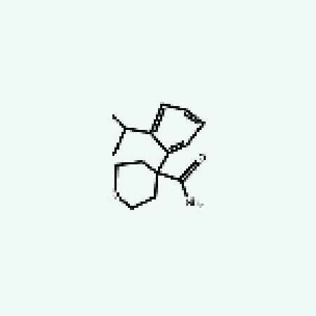 CC(C)c1ccccc1C1(C(N)=O)CCOCC1